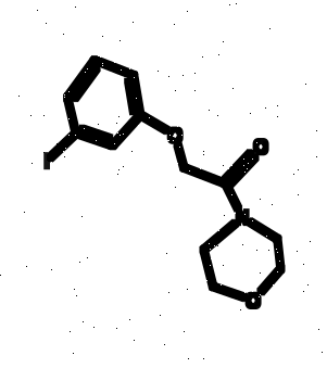 O=C(COc1cccc(I)c1)N1CCOCC1